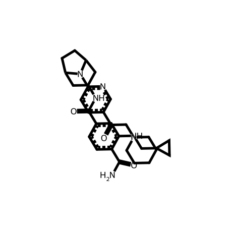 NC(=O)c1ccc(C(=O)NC2CC3CCC(C2)N3c2ccc(C(=O)CN3CCCCC3)cn2)cc1NCC1CC1